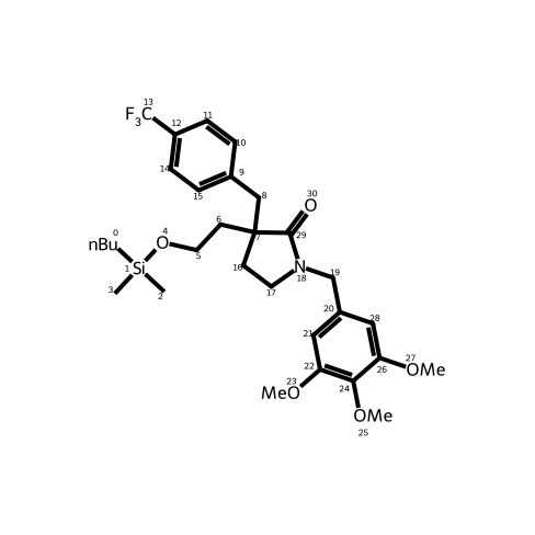 CCCC[Si](C)(C)OCCC1(Cc2ccc(C(F)(F)F)cc2)CCN(Cc2cc(OC)c(OC)c(OC)c2)C1=O